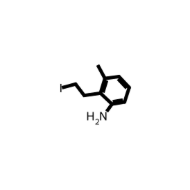 Cc1cccc(N)c1CCI